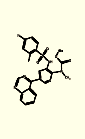 CN(C(=O)OC(C)(C)C)c1ncc(-c2ncnc3ccccc23)cc1NS(=O)(=O)c1ccc(F)cc1F